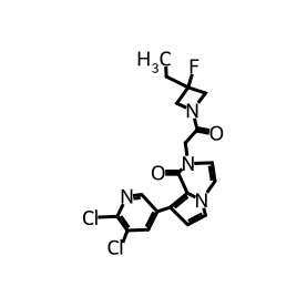 CCC1(F)CN(C(=O)Cn2ccn3ccc(-c4cnc(Cl)c(Cl)c4)c3c2=O)C1